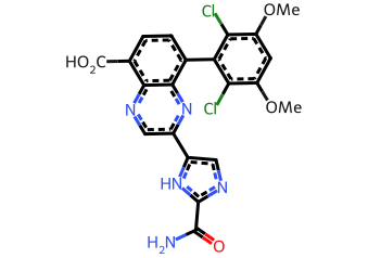 COc1cc(OC)c(Cl)c(-c2ccc(C(=O)O)c3ncc(-c4cnc(C(N)=O)[nH]4)nc23)c1Cl